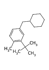 Cc1ccc(CC2CCCCC2)cc1C(C)(C)C